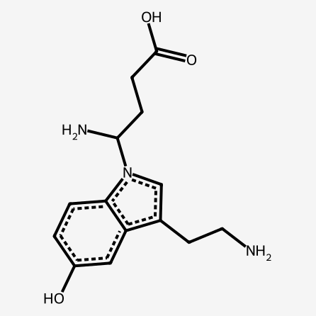 NCCc1cn(C(N)CCC(=O)O)c2ccc(O)cc12